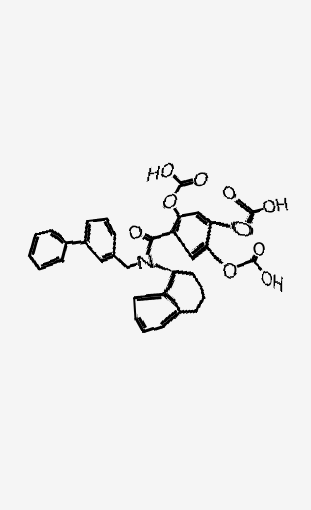 O=C(O)Oc1cc(OC(=O)O)c(C(=O)N(Cc2cccc(-c3ccccc3)c2)[C@H]2CCCc3ccccc32)cc1OC(=O)O